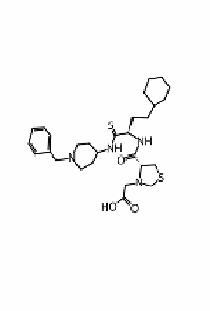 O=C(O)CN1CSC[C@H]1C(=O)N[C@H](CCC1CCCCC1)C(=S)NC1CCN(Cc2ccccc2)CC1